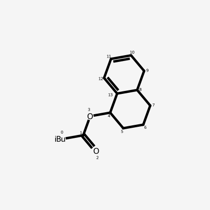 CCC(C)C(=O)OC1CCCC2CC=CC=C21